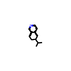 CC(C)C1C=c2ccncc2=CC1